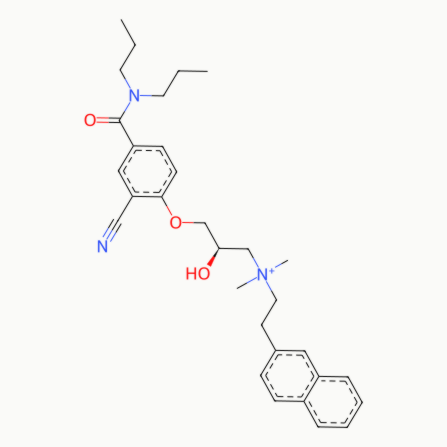 CCCN(CCC)C(=O)c1ccc(OC[C@H](O)C[N+](C)(C)CCc2ccc3ccccc3c2)c(C#N)c1